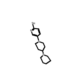 Sc1ccc(N2CCC(N3CCCCC3)CC2)cn1